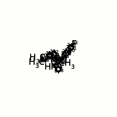 C[C@@H](c1c[nH]c2ccccc12)[C@@H](NC(=O)N1CCN(c2ccc(F)cc2)CC1)C(=O)N1CCCc2ccc(CN(C)C)cc21